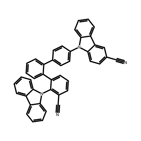 N#Cc1ccc2c(c1)c1ccccc1n2-c1ccc(-c2ccccc2-c2cccc(C#N)c2-n2c3ccccc3c3ccccc32)cc1